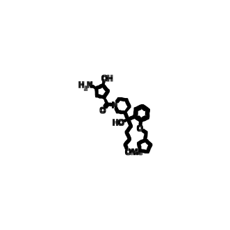 COCCCC[C@@](O)(c1ccccc1OCC1CCCC1)[C@@H]1CCCN(C(=O)[C@H]2C[C@@H](N)[C@@H](O)C2)C1